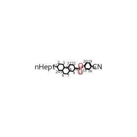 CCCCCCCC1CCC2C(CCC3CC(C(=O)Oc4ccc(C#N)cc4)CCC32)C1